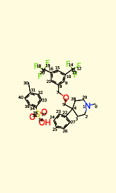 CN1CCC(COCc2cc(C(F)(F)F)cc(C(F)(F)F)c2)(c2ccccc2)CC1.Cc1ccc(S(=O)(=O)O)cc1